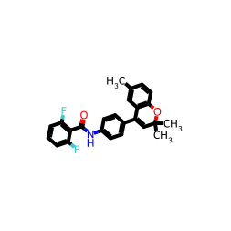 Cc1ccc2c(c1)C(c1ccc(NC(=O)c3c(F)cccc3F)cc1)=CC(C)(C)O2